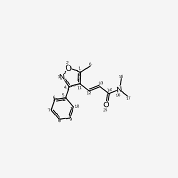 Cc1onc(-c2ccccc2)c1C=CC(=O)N(C)C